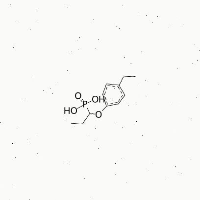 CCc1ccc(OC(CC)P(=O)(O)O)cc1